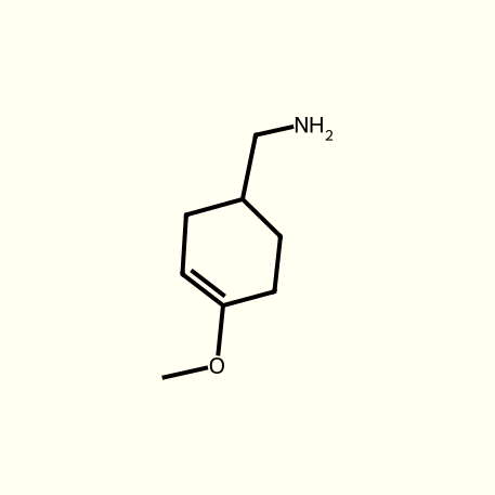 COC1=CCC(CN)CC1